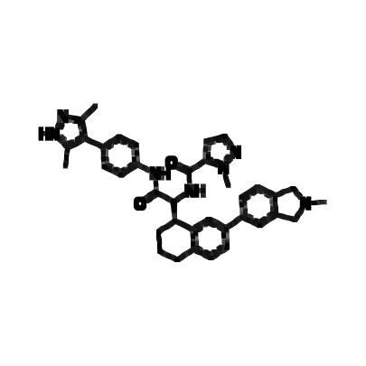 Cc1n[nH]c(C)c1-c1ccc(NC(=O)C(NC(=O)c2ccnn2C)[C@@H]2CCCc3ccc(-c4ccc5c(c4)CN(C)C5)cc32)cc1